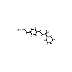 CCCc1ccc(OCC(=O)N2CCOCC2)cc1